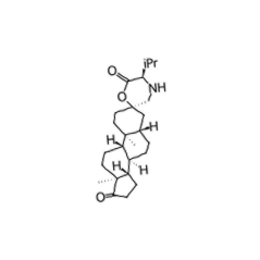 CC(C)[C@H]1NC[C@]2(CC[C@@]3(C)[C@@H](CC[C@@H]4[C@@H]3CC[C@]3(C)C(=O)CC[C@@H]43)C2)OC1=O